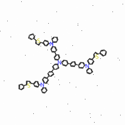 c1ccc(-c2ccc(-c3ccc(N(c4ccccc4)c4ccc(-c5ccc(-c6ccc(N(c7ccc(-c8ccc(-c9ccc(N(c%10ccccc%10)c%10ccc(-c%11ccc(-c%12ccccc%12)s%11)cc%10)cc9)cc8)cc7)c7ccc(-c8ccc(N(c9ccccc9)c9ccc(-c%10ccc(-c%11ccccc%11)s%10)cc9)cc8)cc7)cc6)cc5)cc4)cc3)s2)cc1